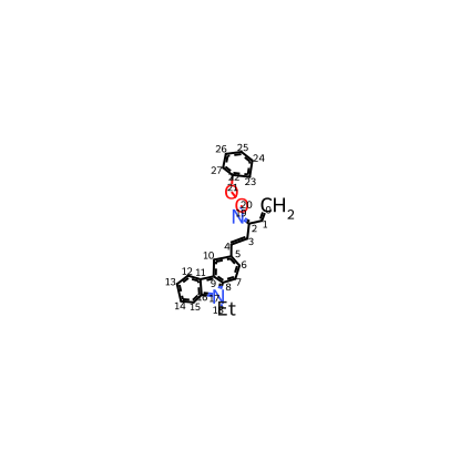 C=CC(C=Cc1ccc2c(c1)c1ccccc1n2CC)=NOOc1ccccc1